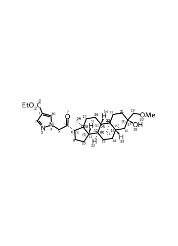 CCOC(=O)c1cnn(CC(=O)[C@H]2CC[C@H]3[C@@H]4CC[C@H]5C[C@@](O)(COC)CC[C@]5(C)[C@H]4CC[C@]23C)c1